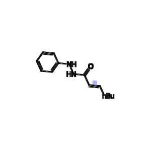 CCCC/C=C/C(=O)NNc1ccccc1